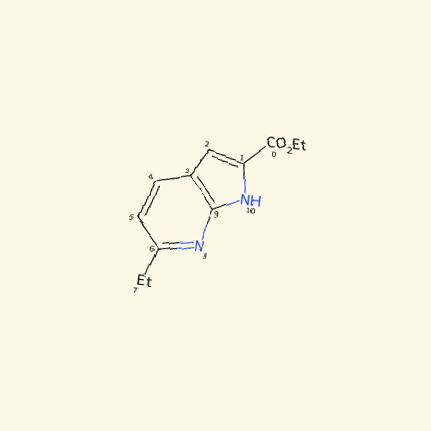 CCOC(=O)c1cc2ccc(CC)nc2[nH]1